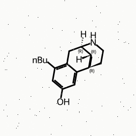 CCCCc1cc(O)cc2c1C[C@H]1NCC[C@@]23CCCC[C@@H]13